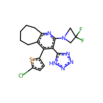 FC1(F)CN(c2nc3c(c(-c4ccc(Cl)s4)c2-c2nnn[nH]2)CCCCC3)C1